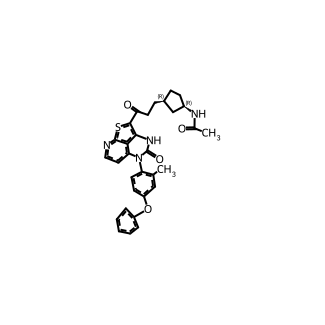 CC(=O)N[C@@H]1CC[C@H](CCC(=O)c2sc3nccc4c3c2NC(=O)N4c2ccc(Oc3ccccc3)cc2C)C1